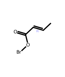 C/C=C/C(=O)OBr